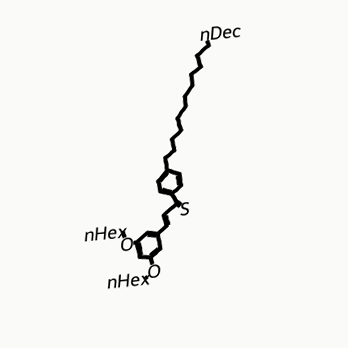 CCCCCCCCCCCCCCCCCCCCCCc1ccc(C(=S)C=Cc2cc(OCCCCCC)cc(OCCCCCC)c2)cc1